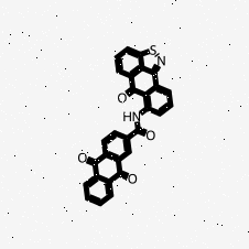 O=C(Nc1cccc2c1C(=O)c1cccc3snc-2c13)c1ccc2c(c1)C(=O)c1ccccc1C2=O